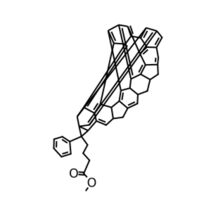 COC(=O)CCCC1(c2ccccc2)C2C3=CC4CC5=CC6CC7Cc8cc9cc%10c%11c%12c9c9c8c7c7c8c%13c%14c(c3c(c%14c%12c89)C%11C21C=%10)C4C5=C%13C76